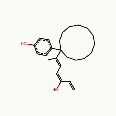 C=C/C(O)=C\C=C(/C)C1(c2ccc(O)cc2)CCCCCCCCCCC1